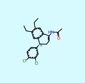 CCc1cc2c(cc1CC)[C@H](c1ccc(Cl)c(Cl)c1)CC=C2NC(C)=O